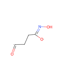 [O]/C(CC[C]=O)=N\O